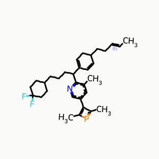 C/C=C/CCC1C=CC(C(CCCC2CCC(F)(F)CC2)c2ncc(C3=C(C)P=C3C)cc2C)=CC1